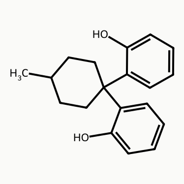 CC1CCC(c2ccccc2O)(c2ccccc2O)CC1